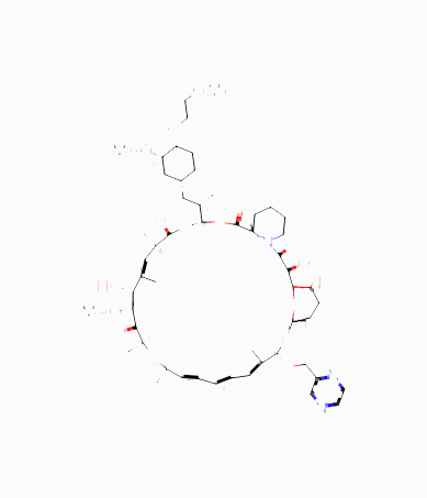 COCCO[C@@H]1CC[C@@H](C[C@@H](C)[C@@H]2CC(=O)[C@H](C)/C=C(\C)[C@@H](O)[C@@H](OC)C(=O)[C@H](C)C[C@H](C)/C=C/C=C/C=C(\C)[C@H](OCc3cnccn3)C[C@@H]3CC[C@@H](C)[C@@](O)(O3)C(=O)C(=O)N3CCCC[C@H]3C(=O)O2)C[C@H]1OC